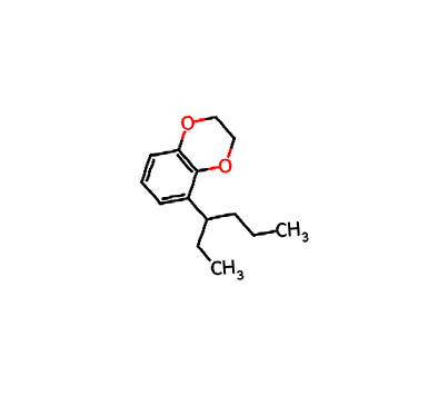 CCCC(CC)c1cccc2c1OCCO2